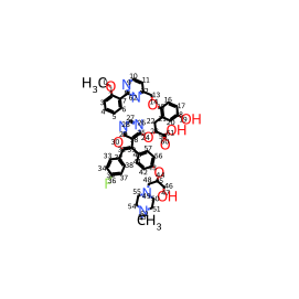 COc1ccccc1-c1nccc(COc2ccc(O)cc2CC(Oc2ncnc3oc(-c4ccc(F)cc4)c(-c4ccc(OC(CO)CN5CCN(C)CC5)cc4)c23)C(=O)O)n1